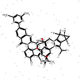 Cc1cc(C)nc(-c2ccc3c(=O)n(-c4ccc(Cl)c5c(NS(C)(=O)=O)nn(CC(F)(F)F)c45)c([C@H](Cc4cc(F)cc(F)c4)NC(=O)Cn4nc(C(F)F)c5c4C(F)(F)[C@@H]4C[C@H]54)nc3c2)n1